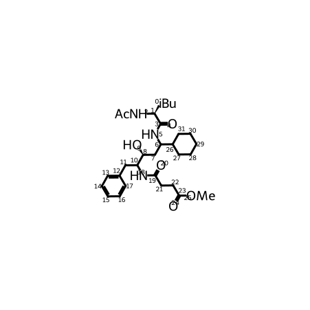 CCC(C)[C@H](NC(C)=O)C(=O)NC(C[C@H](O)C(Cc1ccccc1)NC(=O)CCC(=O)OC)C1CCCCC1